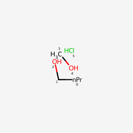 CCCCO.CO.Cl